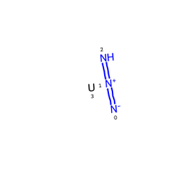 [N-]=[N+]=N.[U]